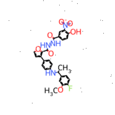 COc1cc(C(C)Nc2ccc(-c3ccoc3C(=O)NNC(=O)c3ccc(O)c([N+](=O)[O-])c3)cc2)ccc1F